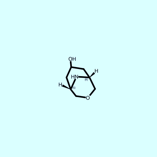 OC1C[C@H]2COC[C@@H](C1)N2